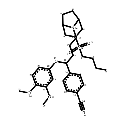 CCCCS(=O)(=O)N1CC2CCC(C1)N2CCCC(Oc1ccc(OC)c(OC)c1)c1ccc(C#N)cc1